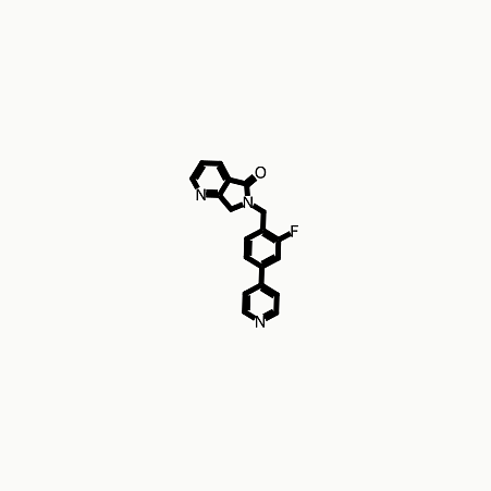 O=C1c2cccnc2CN1Cc1ccc(-c2ccncc2)cc1F